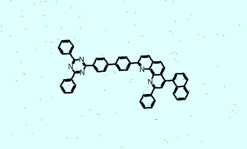 c1ccc(-c2cc(-c3cccc4ccccc34)c3ccc4ccc(-c5ccc(-c6ccc(-c7nc(-c8ccccc8)nc(-c8ccccc8)n7)cc6)cc5)nc4c3n2)cc1